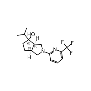 CC(C)[C@@]1(O)CC[C@@H]2CN(c3cccc(C(F)(F)F)n3)C[C@@H]21